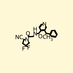 C[C@H](c1ccccc1)c1cnccc1C(=O)NCC(=O)N1CC(F)(F)C[C@H]1C#N